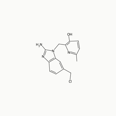 Cc1ccc(O)c(Cn2c(N)nc3ccc(CCl)cc32)n1